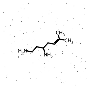 CC(C)=CCC(N)CCN